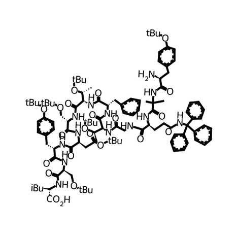 CC[C@H](C)[C@H](NC(=O)[C@H](COC(C)(C)C)NC(=O)[C@H](Cc1ccc(OC(C)(C)C)cc1)NC(=O)[C@H](CC(=O)OC(C)(C)C)NC(=O)[C@H](COC(C)(C)C)NC(=O)[C@@H](NC(=O)[C@H](Cc1ccccc1)NC(=O)[C@@H](NC(=O)CNC(=O)[C@H](CCC(=O)NC(c1ccccc1)(c1ccccc1)c1ccccc1)NC(=O)C(C)(C)NC(=O)[C@@H](N)Cc1ccc(OC(C)(C)C)cc1)[C@@H](C)OC(C)(C)C)[C@@H](C)OC(C)(C)C)C(=O)O